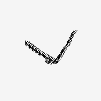 O.O.O.O.O.[K+].[K+].[K+].[K+].[K+].[K+].[K+].[K+].[K+].[K+].[K+].[K+].[K+].[K+].[K+].[K+].[K+].[K+].[K+].[K+].[K+].[K+].[K+].[K+].[K+].[K+].[K+].[K+].[K+].[K+].[K+].[K+].[K+].[K+].[K+].[K+].[K+].[K+].[K+].[K+]